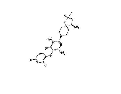 Cn1c(N2CCC3(CC2)CC(F)(F)C[C@H]3N)nc(N)c(Sc2ccc(F)cc2Cl)c1=O